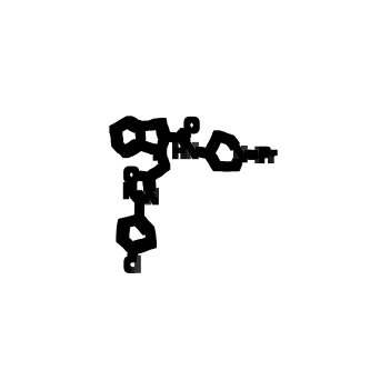 CC(C)N1CCC(NC(=O)c2cc3ccccc3n2Cc2nc(-c3ccc(Cl)cc3)no2)CC1